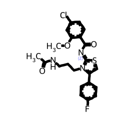 COc1cc(Cl)ccc1C(=O)/N=c1\scc(-c2ccc(F)cc2)n1CCCNC(C)=O